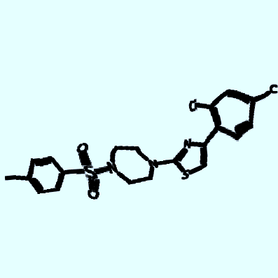 Cc1ccc(S(=O)(=O)N2CCN(c3nc(-c4ccc(Cl)cc4Cl)cs3)CC2)cc1